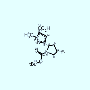 Cn1nc([C@@H]2C[C@H](F)CN2C(=O)OC(C)(C)C)cc1C(=O)O